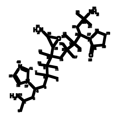 CC(N)CC(CC(C)(C)C(C)(C)C(C)(CC(C)(C)C(C)(C)C(CC(C)(C)N)N1CCCC1=O)C1OC1N)n1ccnc1